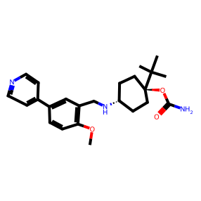 COc1ccc(-c2ccncc2)cc1CN[C@H]1CC[C@@](OC(N)=O)(C(C)(C)C)CC1